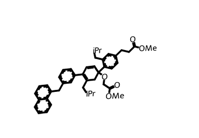 COC(=O)CCc1ccc(C2(OCC(=O)OC)C=CC(c3cccc(Cc4cccc5ccccc45)c3)=C(CC(C)C)C2)c(CC(C)C)c1